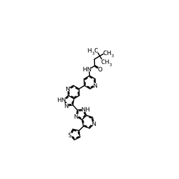 CC(C)(C)CC(=O)Nc1cncc(-c2cnc3[nH]nc(-c4nc5c(-c6ccsc6)cncc5[nH]4)c3c2)c1